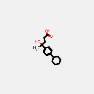 CC(O)(CCC(=O)O)c1ccc(C2CCCCC2)cc1